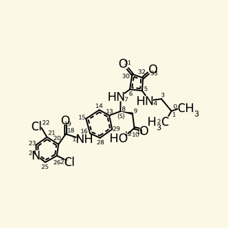 CC(C)CNc1c(N[C@@H](CC(=O)O)c2ccc(NC(=O)c3c(Cl)cncc3Cl)cc2)c(=O)c1=O